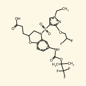 CCn1cc(S(=O)(=O)N2CC(CCC(=O)O)Oc3ccc(NC(=O)OC(C)(C)C(F)(F)F)cc32)c(OCC(F)F)n1